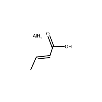 CC=CC(=O)O.[AlH3]